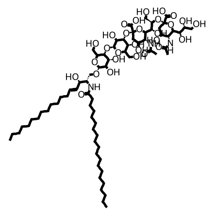 CCCCCCCCCCCCC/C=C/[C@@H](O)[C@H](CO[C@@H]1OC(CO)[C@@H](O[C@@H]2OC(CO)[C@H](O)[C@H](O[C@]3(C(=O)O)CC(O)[C@@H](NC(C)=O)C([C@H](O)[C@@H](CO)O[C@]4(C(=O)O)CC(O)[C@@H](NC(C)=O)C([C@H](O)[C@H](O)CO)O4)O3)C2O)[C@H](O)C1O)NC(=O)CCCCCCCCCCCCCCCCCCC